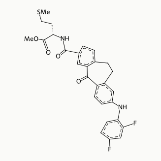 COC(=O)[C@H](CCSC)NC(=O)c1ccc2c(c1)C(=O)c1ccc(Nc3ccc(F)cc3F)cc1CC2